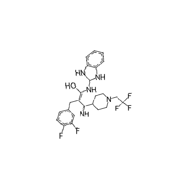 N=C(/C(Cc1ccc(F)c(F)c1)=C(/O)NC1Nc2ccccc2N1)C1CCN(CC(F)(F)F)CC1